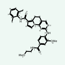 COCCNC(=O)c1ccc(Nc2ncc3c(n2)-n2ccc(C(=O)Nc4c(C)cccc4C)c2CC3)c(OC)c1